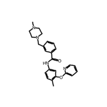 Cc1ccc(NC(=O)c2cccc(CN3CCN(C)CC3)c2)cc1Oc1ccccn1